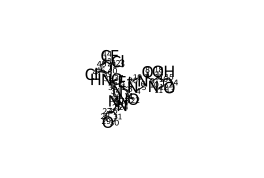 CCc1c(N2CCN(C(=O)c3ncc4occc4c3O)CC2)c(=O)n2nc(C3=CCOCC3)nc2n1CC(=O)Nc1cc(Cl)c(C(F)(F)F)cc1Cl